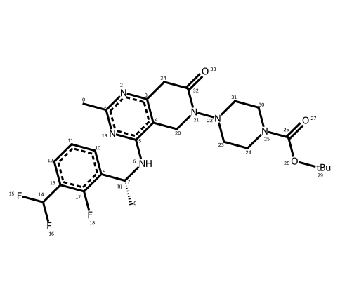 Cc1nc2c(c(N[C@H](C)c3cccc(C(F)F)c3F)n1)CN(N1CCN(C(=O)OC(C)(C)C)CC1)C(=O)C2